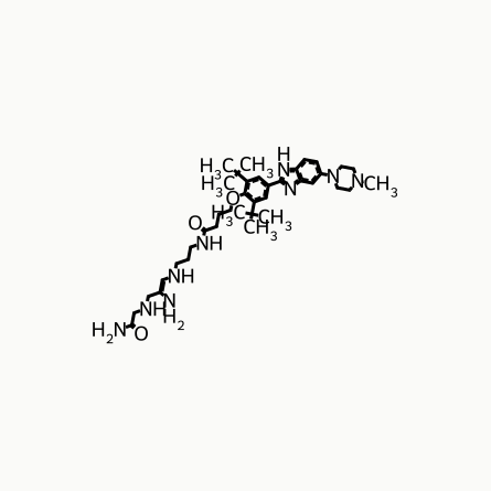 CN1CCN(c2ccc3[nH]c(-c4cc(C(C)(C)C)c(OCCCC(=O)NCCCN/C=C(\N)CNCC(N)=O)c(C(C)(C)C)c4)nc3c2)CC1